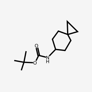 CC(C)(C)OC(=O)NC1CCC2(CC1)CC2